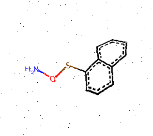 NOSc1cccc2ccccc12